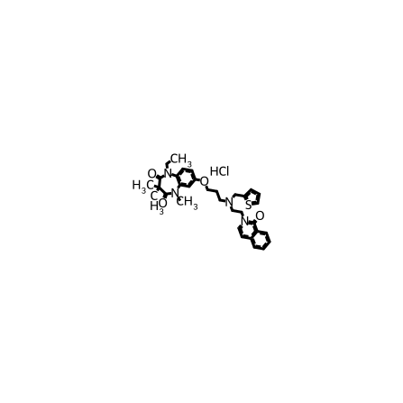 CCN1C(=O)C(C)(C)C(=O)N(C)c2cc(OCCCN(CCn3ccc4ccccc4c3=O)Cc3cccs3)ccc21.Cl